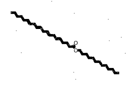 CCCCCC=CCC=CCC=CCC=CCCCC(=O)OCCCCCCCCCCCCC